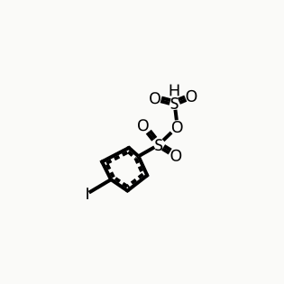 O=[SH](=O)OS(=O)(=O)c1ccc(I)cc1